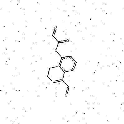 O=CC(=O)Oc1cccc2c1CCC=C2C=O